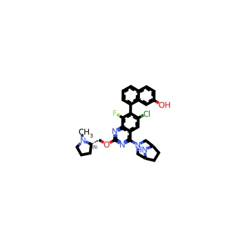 CN1CCC[C@H]1COc1nc(N2CC3CCC(C2)N3)c2cc(Cl)c(-c3cccc4ccc(O)cc34)c(F)c2n1